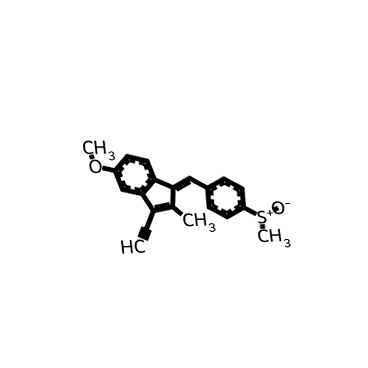 C#CC1=C(C)C(=Cc2ccc([S+](C)[O-])cc2)c2ccc(OC)cc21